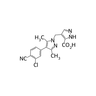 Cc1nn(Cc2cn[nH]c2C(=O)O)c(C)c1-c1ccc(C#N)c(Cl)c1